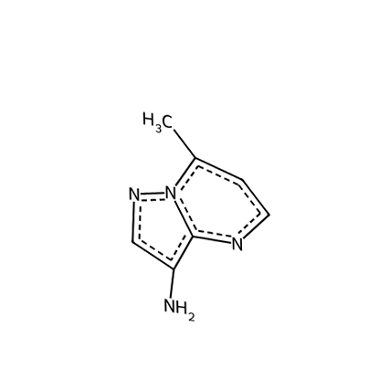 Cc1ccnc2c(N)cnn12